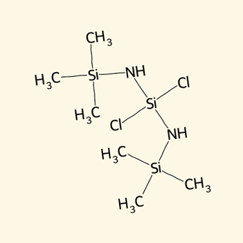 C[Si](C)(C)N[Si](Cl)(Cl)N[Si](C)(C)C